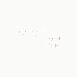 Cc1ccc(Oc2cccc(C3CC3CCN(O)C(N)=O)c2)cc1